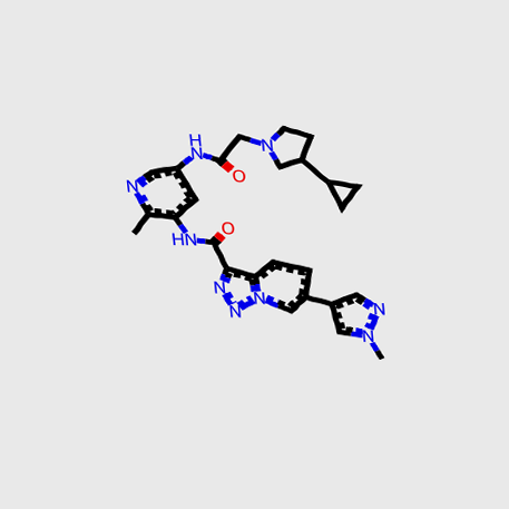 Cc1ncc(NC(=O)CN2CCC(C3CC3)C2)cc1NC(=O)c1nnn2cc(-c3cnn(C)c3)ccc12